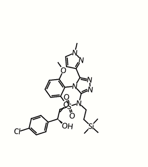 COc1cccc(OC)c1-n1c(-c2ccn(C)n2)nnc1N(CC[Si](C)(C)C)S(=O)(=O)C[C@@H](O)c1ccc(Cl)cc1